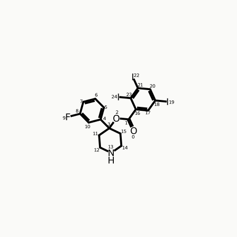 O=C(OC1(c2cccc(F)c2)CCNCC1)c1cc(I)cc(I)c1I